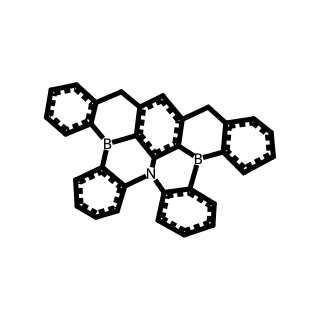 c1ccc2c(c1)Cc1cc3c4c5c1B2c1ccccc1N5c1ccccc1B4c1ccccc1C3